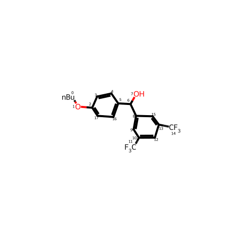 CCCCOc1ccc(C(O)c2cc(C(F)(F)F)cc(C(F)(F)F)c2)cc1